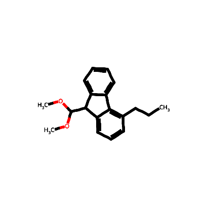 CCCc1cccc2c1-c1ccccc1C2C(OC)OC